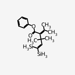 CC(C)=C(C(=O)Oc1ccccc1)C(C)(C)C=C([SiH3])[SiH3]